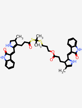 CC1=CNC(/C=C2\C(=O)Nc3ccccc32)C1CCC(=O)OCCCSC(C)(C)SC(=O)CCC1=C(/C=C2\C(=O)Nc3ccccc32)NCC1C